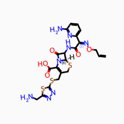 C=CCO/N=C(\C(=O)NC1C(=O)N2C(C(=O)O)=C(CSc3nnc(CN)s3)CS[C@H]12)c1cccc(N)n1